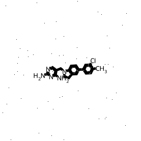 Cc1ccc(-c2ccc3c(c2)CCN3Cc2cnc(N)nc2N)cc1Cl